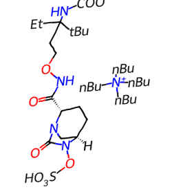 CCC(CCONC(=O)[C@@H]1CC[C@@H]2CN1C(=O)N2OS(=O)(=O)O)(NC(=O)[O-])C(C)(C)C.CCCC[N+](CCCC)(CCCC)CCCC